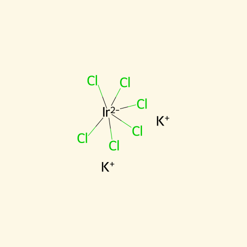 [Cl][Ir-2]([Cl])([Cl])([Cl])([Cl])[Cl].[K+].[K+]